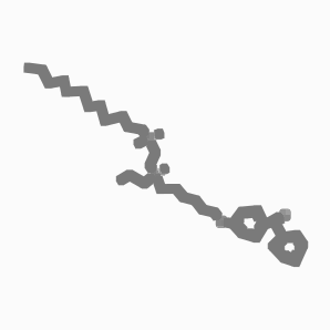 CCCCCCCCCCCC[N+](C)(C)CC[N+](C)(CCC)CCCCCCOc1ccc(C(=O)c2ccccc2)cc1